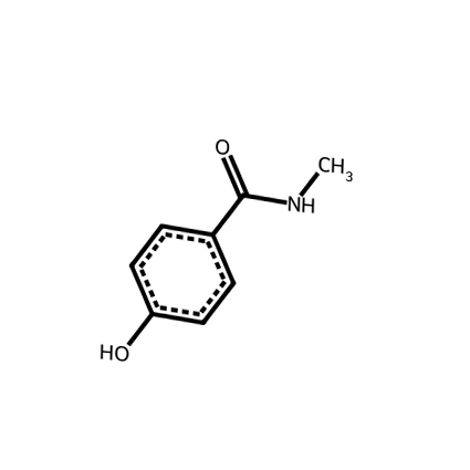 CNC(=O)c1ccc(O)cc1